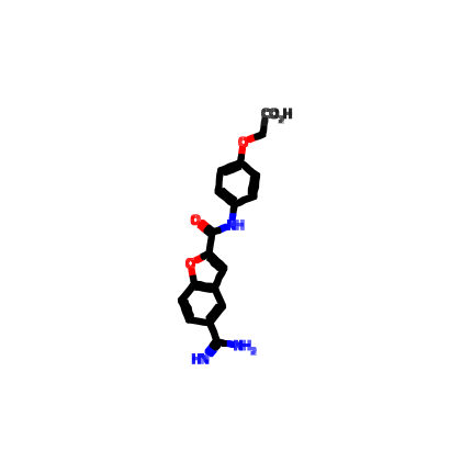 N=C(N)c1ccc2oc(C(=O)Nc3ccc(OCC(=O)O)cc3)cc2c1